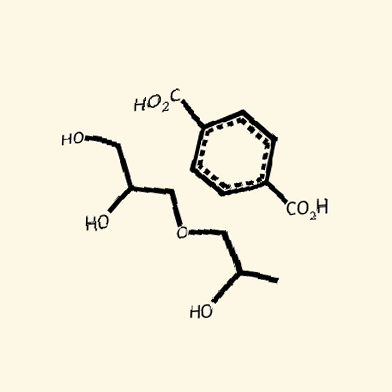 CC(O)COCC(O)CO.O=C(O)c1ccc(C(=O)O)cc1